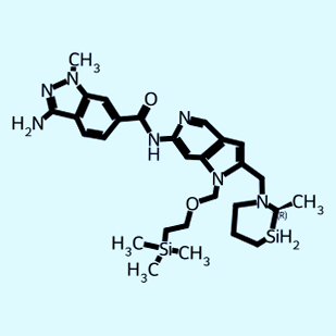 C[C@H]1[SiH2]CCCN1Cc1cc2cnc(NC(=O)c3ccc4c(N)nn(C)c4c3)cc2n1COCC[Si](C)(C)C